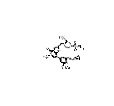 CC(=O)Nc1cc(-c2cn(C)c(=O)c3cc(CN4CCN(S(C)(=O)=O)CC4C)sc23)cc(OCC2CC2)n1